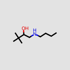 CCCCNCC(O)C(C)(C)C